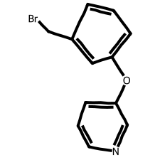 BrCc1cccc(Oc2cccnc2)c1